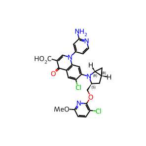 COc1ccc(Cl)c(OC[C@@H]2C[C@H]3C[C@H]3N2c2cc3c(cc2Cl)c(=O)c(C(=O)O)cn3-c2ccnc(N)c2)n1